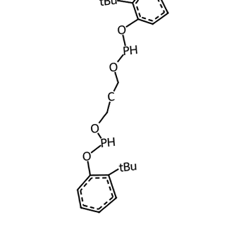 CC(C)(C)c1ccccc1OPOCCCOPOc1ccccc1C(C)(C)C